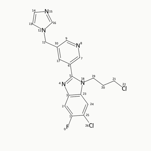 Fc1cc2nc(-c3cncc(Cn4ccnc4)c3)n(CCCCl)c2cc1Cl